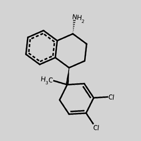 CC1([C@@H]2CC[C@@H](N)c3ccccc32)C=C(Cl)C(Cl)=CC1